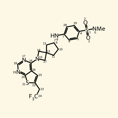 CNS(=O)(=O)c1ccc(N[C@@H]2CCC3(C2)CN(c2ncnc4sc(CC(F)(F)F)cc24)C3)cc1